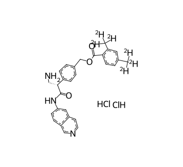 Cl.Cl.[2H]C([2H])([2H])c1ccc(C(=O)OCc2ccc([C@@H](CN)C(=O)Nc3ccc4cnccc4c3)cc2)c(C([2H])([2H])[2H])c1